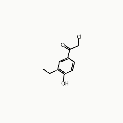 CCc1cc(C(=O)CCl)ccc1O